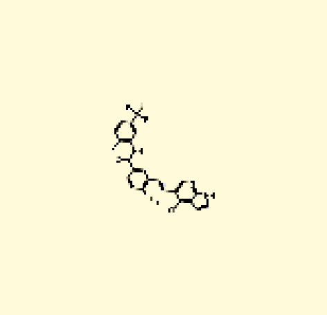 Cc1ccc(C(=O)Nc2cc(C(F)(F)F)ccc2F)cc1/C=C/c1cnc2[nH]ccc2c1Cl